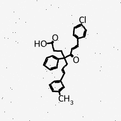 Cc1cccc(/C=C/CC(CCC(=O)O)(C(=O)C=Cc2ccc(Cl)cc2)c2ccccc2)c1